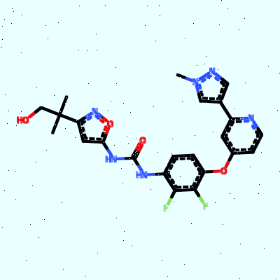 Cn1cc(-c2cc(Oc3ccc(NC(=O)Nc4cc(C(C)(C)CO)no4)c(F)c3F)ccn2)cn1